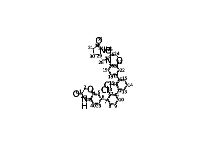 O=C1COc2cc(-c3cccc(-c4cccc(-c5ccc6c(c5)OCC(=O)N6C[C@@H]5CCC(=O)N5)c4Cl)c3Cl)ccc2N1